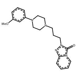 COc1cccc(N2CCN(CCCn3nc4ccccn4c3=O)CC2)c1